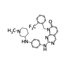 CN1CCCC(Nc2ccc(Nc3ncc4ccc(=O)n(Cc5ccccc5C(F)(F)F)c4n3)cc2)C1